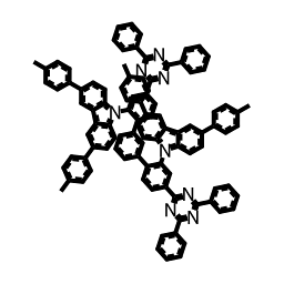 Cc1ccc(-c2ccc3c(c2)c2cc(-c4ccc(C)cc4)ccc2n3-c2cc(-c3nc(-c4ccccc4)nc(-c4ccccc4)n3)ccc2-c2cccc(-c3ccc(-c4nc(-c5ccccc5)nc(-c5ccccc5)n4)cc3-n3c4ccc(-c5ccc(C)cc5)cc4c4cc(-c5ccc(C)cc5)ccc43)c2)cc1